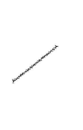 C=C(C)COCCOCCOCCOCCOCCOCCOCCOCCOCCOCCOCCOCCOCCOCCOCC(=C)C